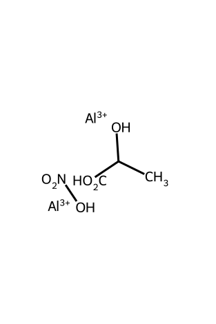 CC(O)C(=O)O.O=[N+]([O-])O.[Al+3].[Al+3]